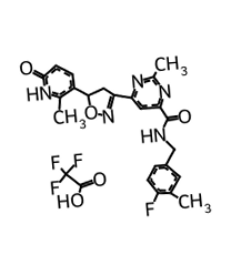 Cc1nc(C(=O)NCc2ccc(F)c(C)c2)cc(C2=NOC(c3ccc(=O)[nH]c3C)C2)n1.O=C(O)C(F)(F)F